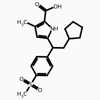 Cc1cc(C(CC2CCCC2)c2ccc(S(C)(=O)=O)cc2)[nH]c1C(=O)O